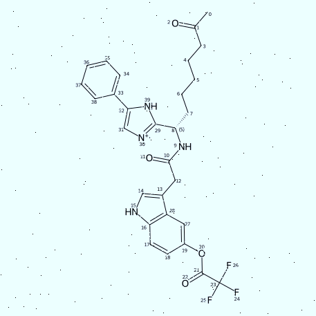 CC(=O)CCCCC[C@H](NC(=O)Cc1c[nH]c2ccc(OC(=O)C(F)(F)F)cc12)C1=[N+]C=C(c2ccccc2)N1